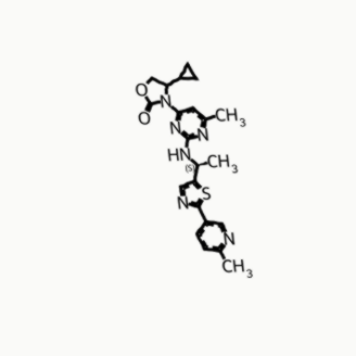 Cc1ccc(-c2ncc([C@H](C)Nc3nc(C)cc(N4C(=O)OCC4C4CC4)n3)s2)cn1